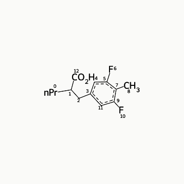 CCCC(Cc1cc(F)c(C)c(F)c1)C(=O)O